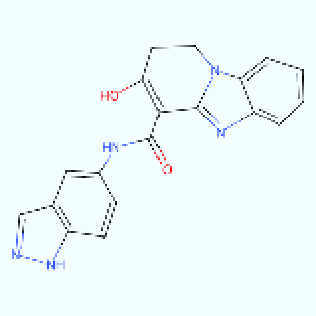 O=C(Nc1ccc2[nH]ncc2c1)C1=C(O)CCn2c1nc1ccccc12